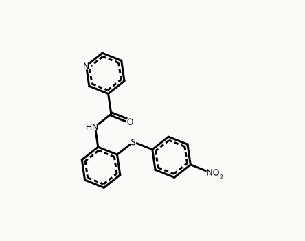 O=C(Nc1ccccc1Sc1ccc([N+](=O)[O-])cc1)c1cccnc1